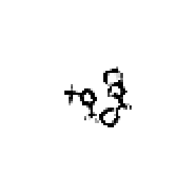 CC(F)(F)c1cccc(C(=O)[C@H]2CCCN(C(=O)c3cc4ncccn4n3)C2)c1